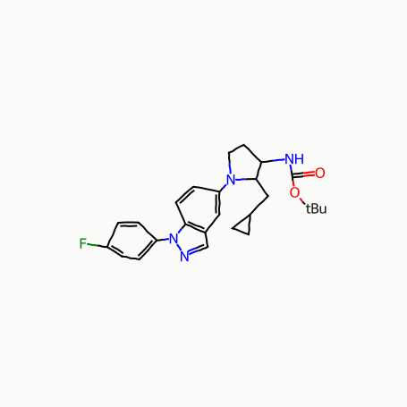 CC(C)(C)OC(=O)NC1CCN(c2ccc3c(cnn3-c3ccc(F)cc3)c2)C1CC1CC1